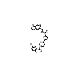 O=C(NCc1cn2ccnc2cn1)c1ccc(C2CCN(C(=O)c3cc(F)ccc3F)CC2)s1